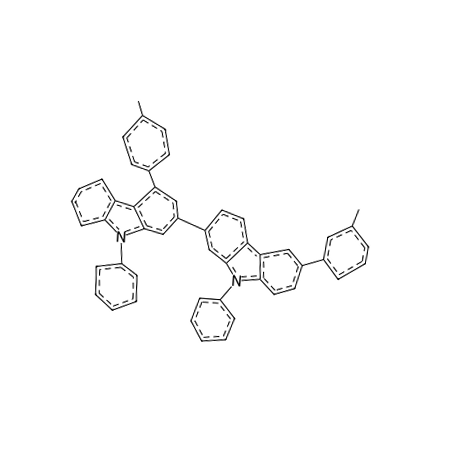 Cc1ccc(-c2cc(-c3ccc4c5cc(-c6cccc(C)c6)ccc5n(-c5ccccc5)c4c3)cc3c2c2ccccc2n3-c2ccccc2)cc1